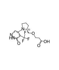 O=C(O)CCOC[C@@H]1CCCN1c1cn[nH]c(=O)c1C(F)(F)F